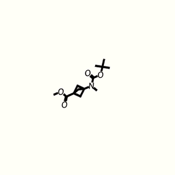 COC(=O)C12CC(N(C)C(=O)OC(C)(C)C)(C1)C2